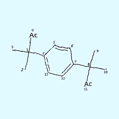 CC(=O)C(C)(C)c1ccc(C(C)(C)C(C)=O)cc1